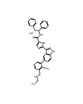 CCNCc1cncc(-c2ccc3[nH]nc(-c4ncc(C(=O)N[C@H](c5ccccc5)[C@H](O)c5ccccc5)[nH]4)c3c2)c1C